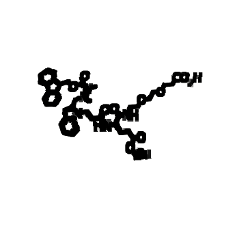 CN(Cc1cc2ccccc2n1CCC(=O)NC(CCC(=O)OC(C)(C)C)C(=O)NCCOCCOCCC(=O)O)N(C)C(=O)OCC1c2ccccc2-c2ccccc21